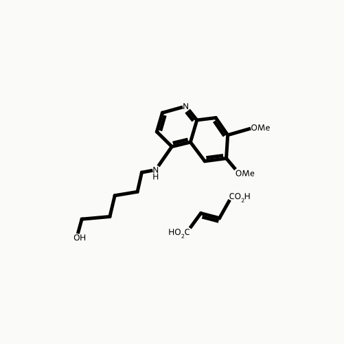 COc1cc2nccc(NCCCCCO)c2cc1OC.O=C(O)C=CC(=O)O